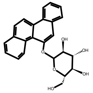 OC[C@@H]1OC(Oc2cc3ccccc3c3ccc4ccccc4c23)[C@@H](O)[C@H](O)[C@H]1O